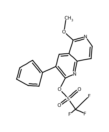 COc1nccc2nc(OS(=O)(=O)C(F)(F)F)c(-c3ccccc3)cc12